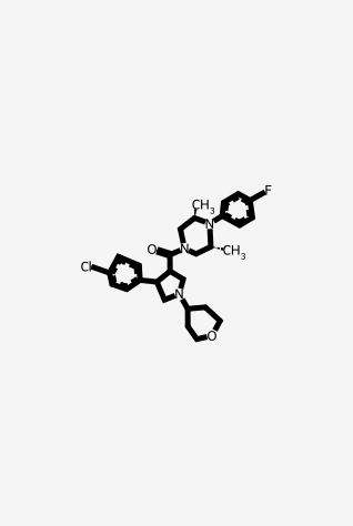 C[C@@H]1CN(C(=O)C2CN(C3CCOCC3)CC2c2ccc(Cl)cc2)C[C@H](C)N1c1ccc(F)cc1